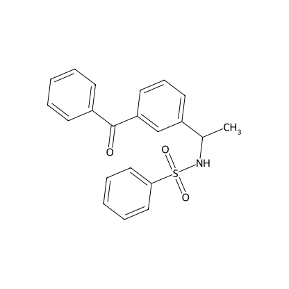 CC(NS(=O)(=O)c1ccccc1)c1cccc(C(=O)c2ccccc2)c1